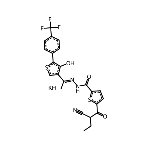 CCC(C#N)C(=O)c1ccc(C(=O)NN=C(C)c2csc(-c3ccc(C(F)(F)F)cc3)c2O)s1.[KH]